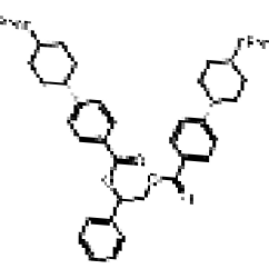 CCCCC[C@H]1CC[C@H](c2ccc(C(=O)OCC(OC(=O)c3ccc([C@H]4CC[C@H](CCCCC)CC4)cc3)c3ccccc3)cc2)CC1